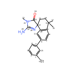 CCc1cccc(-c2ccc3c(c2)C2(CCC3(C)C)N=C(N)N(C)C2=O)c1